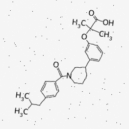 CC(C)Cc1ccc(C(=O)N2CCCC(c3cccc(OC(C)(C)C(=O)O)c3)C2)cc1